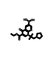 CCOC(=O)c1cn(C(C)(C)CN2CCCC2)c2ncc(B(O)O)cc2c1=O